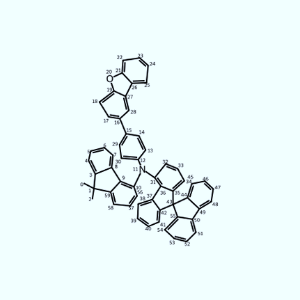 CC1(C)c2ccccc2-c2c(N(c3ccc(-c4ccc5oc6ccccc6c5c4)cc3)c3cccc4c3-c3ccccc3C43c4ccccc4-c4ccccc43)cccc21